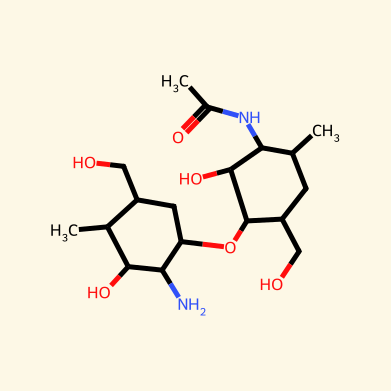 CC(=O)NC1C(C)CC(CO)C(OC2CC(CO)C(C)C(O)C2N)C1O